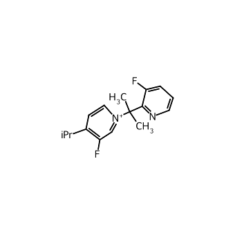 CC(C)c1cc[n+](C(C)(C)c2ncccc2F)cc1F